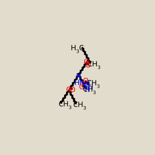 CCCCCCCCC(CC)OC(=O)CCCCCCCN(CCCCCCCC(=O)OC(CCCCCCCC)CCCCCCCC)CCCNC(C(=O)NC)C(=O)NC